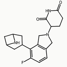 O=C1CCC(N2Cc3ccc(F)c(C4CC5CC(C4)N5)c3C2)C(=O)N1